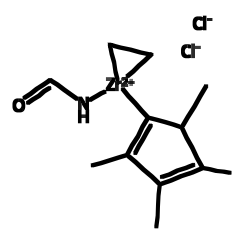 CC1=C(C)C(C)[C]([Zr+2]2([NH]C=O)[CH2][CH2]2)=C1C.[Cl-].[Cl-]